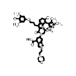 Cc1cc(OCCCc2c3n(c4c(-c5c(C)nn(C)c5C)c(Cl)ccc24)[C@H](C)CN(c2cc(C(=O)O)c4cn(CCN5CCOCC5)nc4c2)C3=O)cc(C)c1Cl